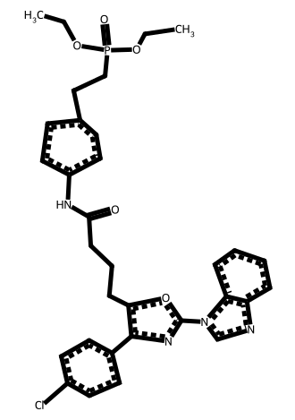 CCOP(=O)(CCc1ccc(NC(=O)CCCc2oc(-n3cnc4ccccc43)nc2-c2ccc(Cl)cc2)cc1)OCC